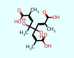 CC(=CC(C)(O)C(O)(C=C(C)C(=O)O)C=C(C)C(=O)O)C(=O)O